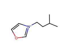 CC(C)CC[n+]1ccoc1